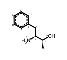 C[C@H](O)[C@@H](N)Cc1ccccc1